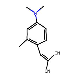 Cc1cc(N(C)C)ccc1C=C(C#N)C#N